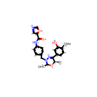 CC[C@H]1OC(C=O)N(Cc2ccc(NC(=O)c3cnco3)cc2)N=C1c1ccc(OC)c(O)c1